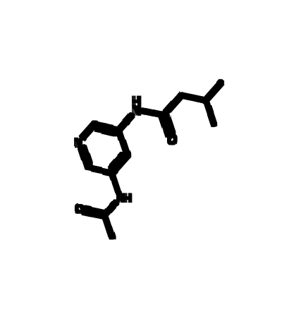 CC(=O)Nc1cncc(NC(=O)CC(C)C)c1